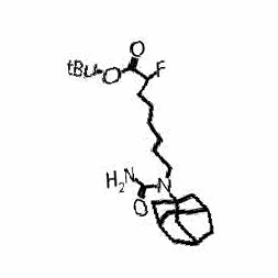 CC(C)(C)OC(=O)C(F)CCCCCCN(C(N)=O)C12CC3CC(CC(C3)C1)C2